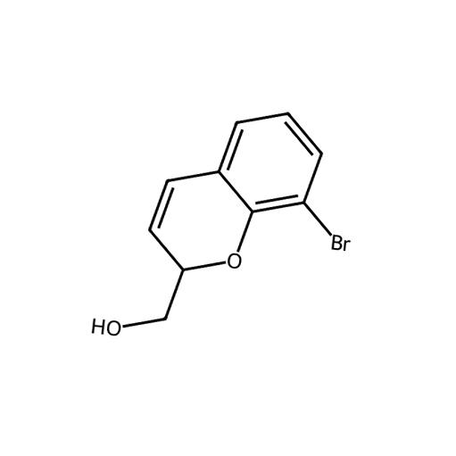 OCC1C=Cc2cccc(Br)c2O1